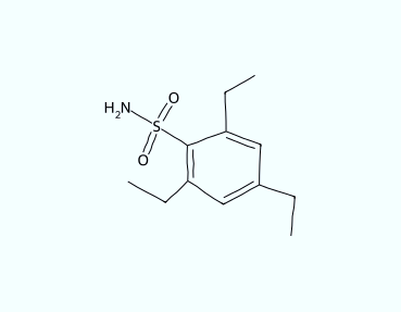 CCc1cc(CC)c(S(N)(=O)=O)c(CC)c1